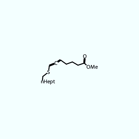 CCCCCCCCSC=C=CCCCC(=O)OC